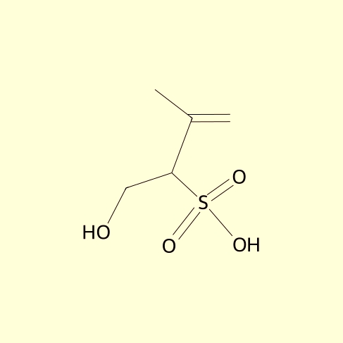 C=C(C)C(CO)S(=O)(=O)O